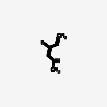 C=C/C(F)=C\NC